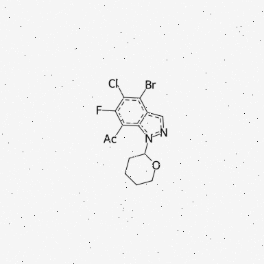 CC(=O)c1c(F)c(Cl)c(Br)c2cnn(C3CCCCO3)c12